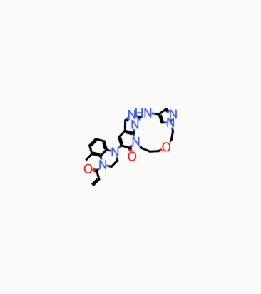 C=CC(=O)N1CCN(c2cc3cnc4nc3n(c2=O)CCCOCCn2cc(cn2)N4)c2cccc(C)c21